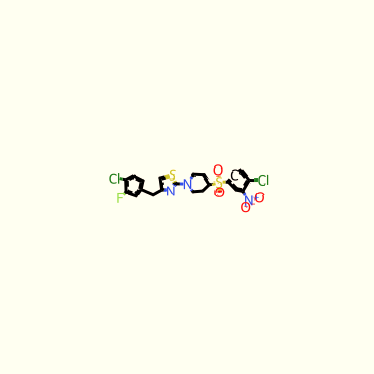 O=[N+]([O-])c1cc(S(=O)(=O)C2CCN(c3nc(Cc4ccc(Cl)c(F)c4)cs3)CC2)ccc1Cl